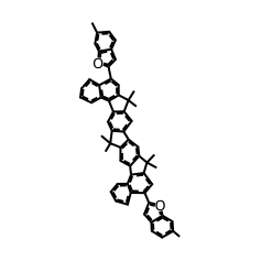 Cc1ccc2cc(-c3cc4c(c5ccccc35)-c3cc5c(cc3C4(C)C)-c3cc4c(cc3C5(C)C)-c3c(cc(-c5cc6ccc(C)cc6o5)c5ccccc35)C4(C)C)oc2c1